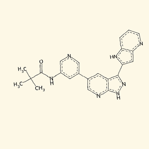 CC(C)(C)C(=O)Nc1cncc(-c2cnc3[nH]nc(-c4cc5ncccc5[nH]4)c3c2)c1